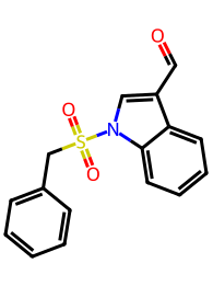 O=Cc1cn(S(=O)(=O)Cc2ccccc2)c2ccccc12